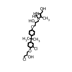 CC1=C(CO)NNN1C[C@H](O)COc1ccc(C(C)(C)c2ccc(OC[C@H](O)CCl)c(Cl)c2)cc1